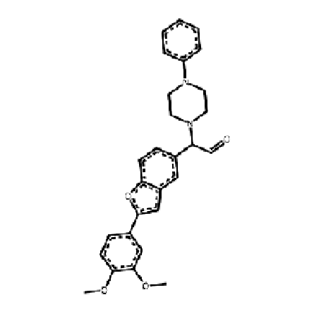 COc1ccc(-c2cc3cc(C(C=O)N4CCN(c5ccccc5)CC4)ccc3o2)cc1OC